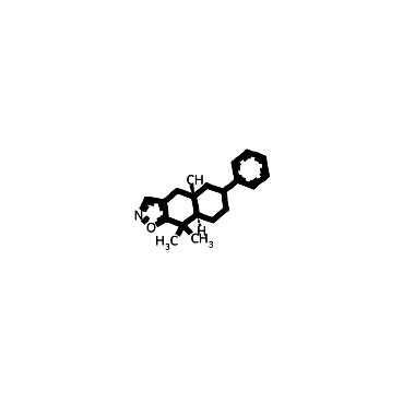 CC1(C)c2oncc2C[C@]2(C)CC(c3ccccc3)CC[C@@H]12